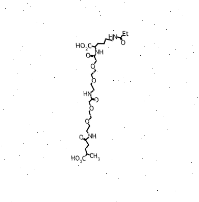 CCC(=O)NCCCCC(NC(=O)COCCOCCNC(=O)COCCOCCNC(=O)CCC(C)C(=O)O)C(=O)O